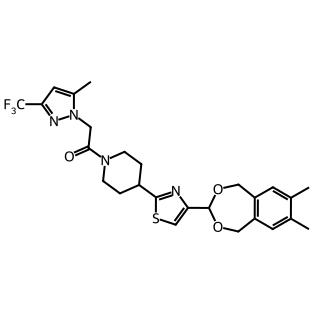 Cc1cc2c(cc1C)COC(c1csc(C3CCN(C(=O)Cn4nc(C(F)(F)F)cc4C)CC3)n1)OC2